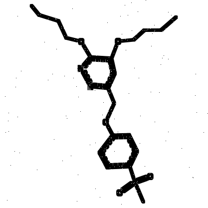 CCCCOc1cc(COc2ccc(S(C)(=O)=O)cc2)nnc1OCCCC